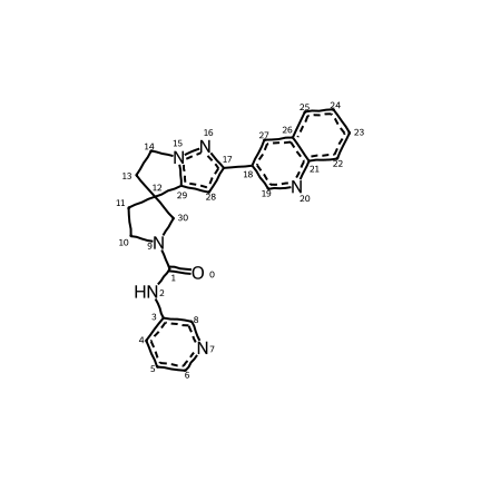 O=C(Nc1cccnc1)N1CCC2(CCn3nc(-c4cnc5ccccc5c4)cc32)C1